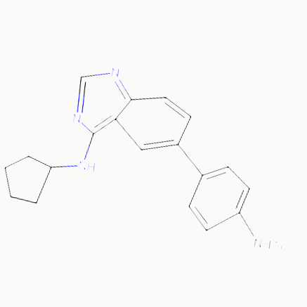 CC(=O)Nc1ccc(-c2ccc3ncnc(NC4CCCC4)c3c2)cc1